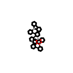 c1ccc(-c2cccnc2-c2ncccc2-c2ccccc2-c2ccccc2-n2c3ccccc3c3ccccc32)c(-c2ccccc2-n2c3ccccc3c3ccccc32)c1